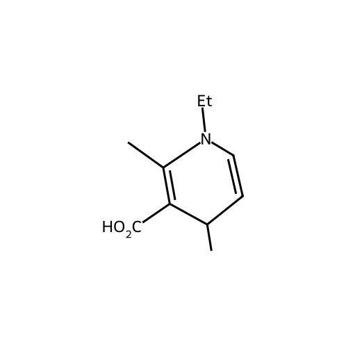 CCN1C=CC(C)C(C(=O)O)=C1C